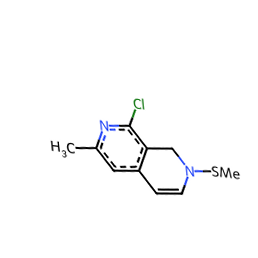 CSN1C=Cc2cc(C)nc(Cl)c2C1